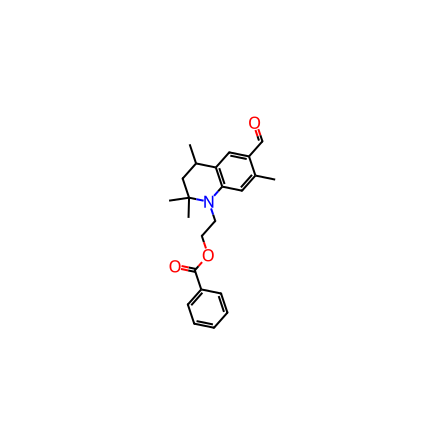 Cc1cc2c(cc1C=O)C(C)CC(C)(C)N2CCOC(=O)c1ccccc1